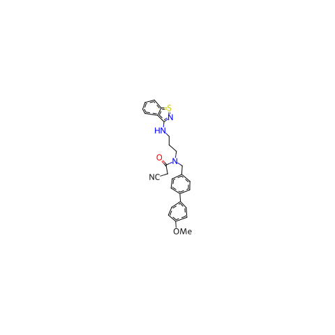 COc1ccc(-c2ccc(CN(CCCNc3nsc4ccccc34)C(=O)CC#N)cc2)cc1